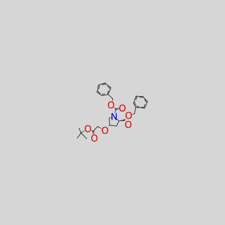 CC(C)(C)OC(=O)CO[C@H]1C[C@H](C(=O)OCc2ccccc2)N(C(=O)OCc2ccccc2)C1